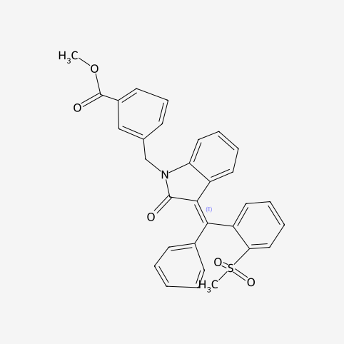 COC(=O)c1cccc(CN2C(=O)/C(=C(\c3ccccc3)c3ccccc3S(C)(=O)=O)c3ccccc32)c1